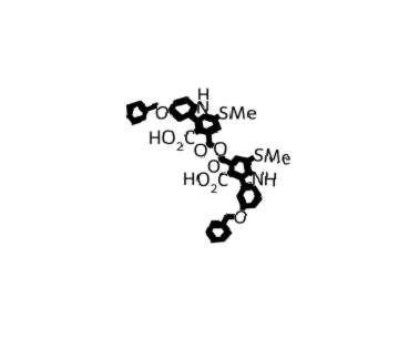 CSc1cc(C(=O)OC(=O)c2cc(SC)c3[nH]c4ccc(OCc5ccccc5)cc4c3c2C(=O)O)c(C(=O)O)c2c1[nH]c1ccc(OCc3ccccc3)cc12